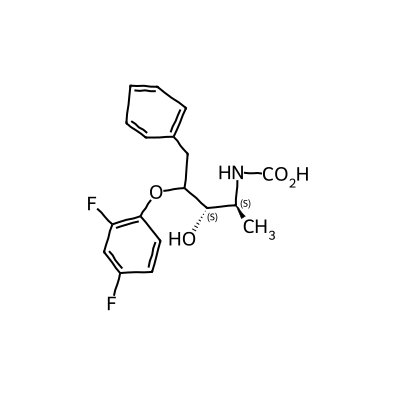 C[C@H](NC(=O)O)[C@H](O)C(Cc1ccccc1)Oc1ccc(F)cc1F